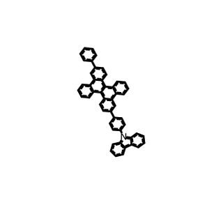 c1ccc(-c2ccc3c(c2)c2ccccc2c2c4ccc(-c5ccc(-n6c7ccccc7c7ccccc76)cc5)cc4c4ccccc4c32)cc1